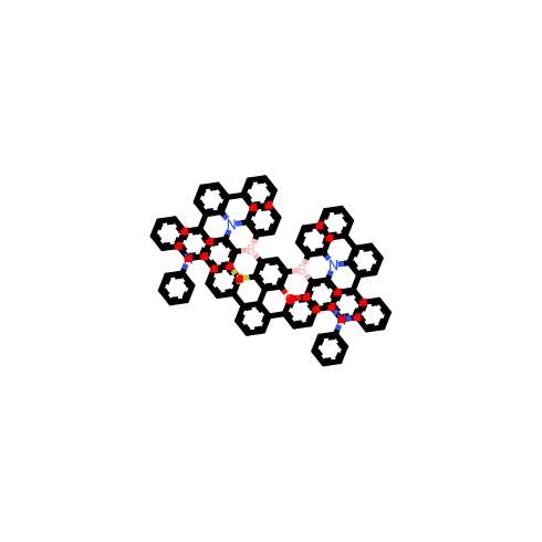 c1ccc(-c2cccc(-c3ccccc3)c2-c2c3c(cc4c2Sc2cc(N(c5ccccc5)c5ccccc5)cc5c2B4c2ccccc2N5c2c(-c4ccccc4)cccc2-c2ccccc2)B2c4ccccc4N(c4c(-c5ccccc5)cccc4-c4ccccc4)c4cc(N(c5ccccc5)c5ccccc5)cc(c42)O3)cc1